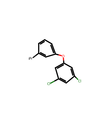 CC(C)c1cccc(Oc2cc(Cl)cc(Cl)c2)c1